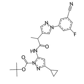 CC(C(=O)Nc1cc(C2CC2)nn1C(=O)OC(C)(C)C)c1cnn(-c2cc(F)cc(C#N)c2)c1